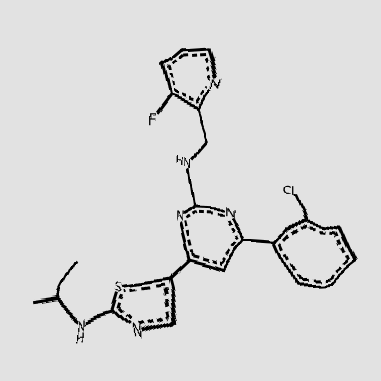 CC(C)Nc1ncc(-c2cc(-c3ccccc3Cl)nc(NCc3ncccc3F)n2)s1